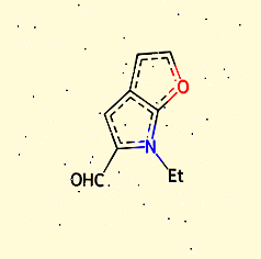 CCn1c(C=O)cc2ccoc21